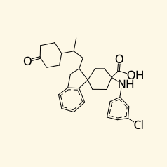 CC(CC1Cc2ccccc2C12CCC(Nc1cccc(Cl)c1)(C(=O)O)CC2)C1CCC(=O)CC1